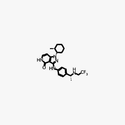 C[C@@H](NCC(F)(F)F)c1ccc(Nc2nn([C@H]3CCCC[C@@H]3C)c3cc[nH]c(=O)c23)cc1